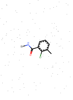 CCNC(=O)c1cccc(C)c1Cl